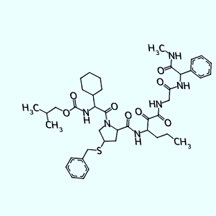 CCCC(NC(=O)C1CC(SCc2ccccc2)CN1C(=O)C(NC(=O)OCC(C)C)C1CCCCC1)C(=O)C(=O)NCC(=O)NC(C(=O)NC)c1ccccc1